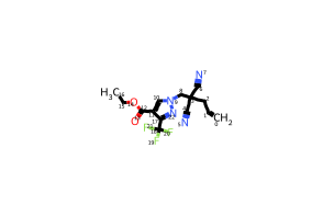 C=CCC(C#N)(C#N)Cn1cc(C(=O)OCC)c(C(F)(F)F)n1